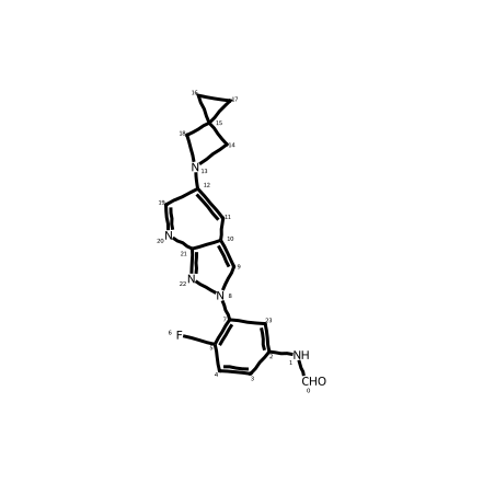 O=CNc1ccc(F)c(-n2cc3cc(N4CC5(CC5)C4)cnc3n2)c1